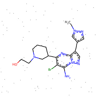 Cn1cc(-c2cnn3c(N)c(Br)c(C4CCCN(CCO)C4)nc23)cn1